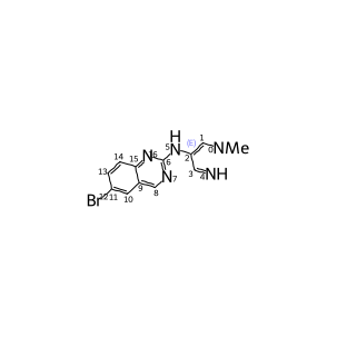 CN/C=C(\C=N)Nc1ncc2cc(Br)ccc2n1